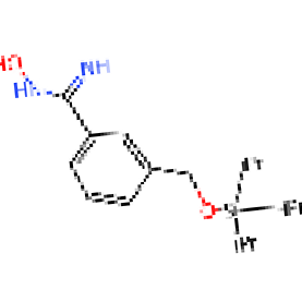 CC(C)[Si](OCc1cccc(C(=N)NO)c1)(C(C)C)C(C)C